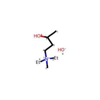 CC[N+](C)(CC)CCC(C)O.[OH-]